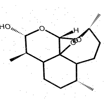 C[C@@H]1CCC2[C@@H](C)[C@H](O)O[C@@H]3O[C@]4(C)CCC1C23OO4